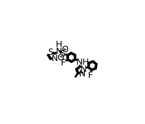 Cc1cc(Nc2ccc(S(=O)(=O)Nc3nccs3)c(F)c2)n(-c2ccccc2F)n1